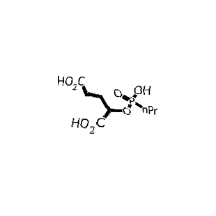 CCCP(=O)(O)OC(CCC(=O)O)C(=O)O